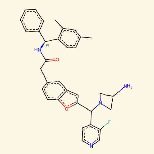 Cc1ccc([C@@H](NC(=O)Cc2ccc3oc(C(c4ccncc4F)N4CC(N)C4)cc3c2)c2ccccc2)c(C)c1